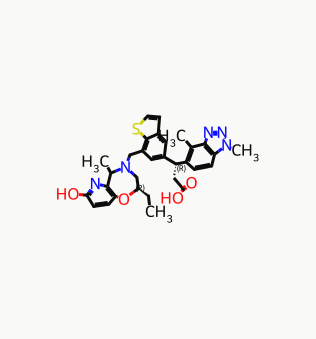 CC[C@@H]1CN(Cc2cc([C@@H](CC(=O)O)c3ccc4c(nnn4C)c3C)cc3ccsc23)C(C)c2nc(O)ccc2O1